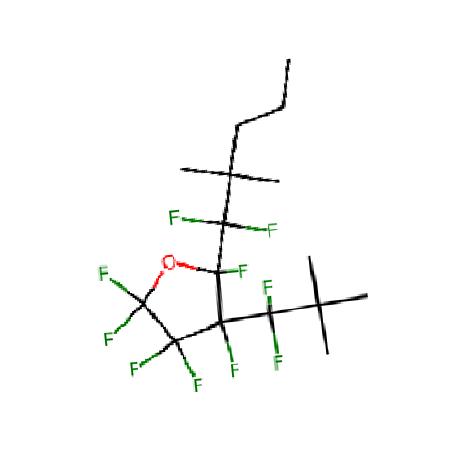 CCCC(C)(C)C(F)(F)C1(F)OC(F)(F)C(F)(F)C1(F)C(F)(F)C(C)(C)C